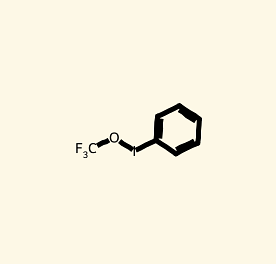 FC(F)(F)O[I]c1ccccc1